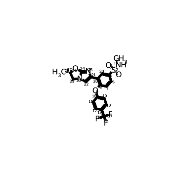 CNS(=O)(=O)c1ccc(Oc2ccc(C(F)(F)F)cc2)c(-c2cn3c(n2)O[C@@H](C)C3)c1